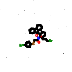 O=C(CSc1ccc(Br)cc1)N(CCCCBr)OC(c1ccccc1)(c1ccccc1)c1ccccc1